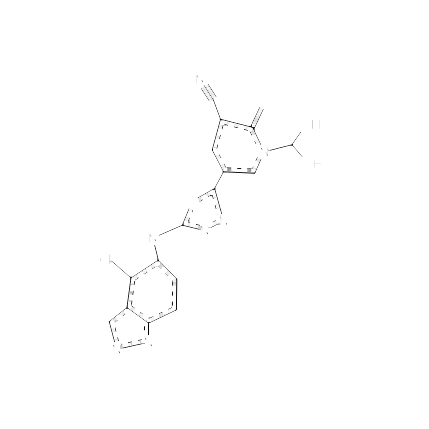 CC(C)n1cc(-c2nnc(Nc3ccc4[nH]ncc4c3Cl)s2)cc(C#N)c1=O